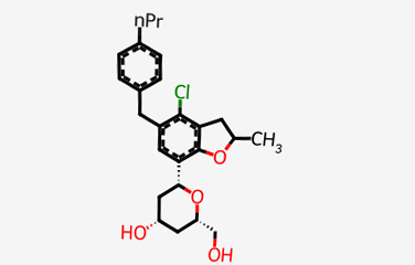 CCCc1ccc(Cc2cc([C@H]3C[C@@H](O)C[C@@H](CO)O3)c3c(c2Cl)CC(C)O3)cc1